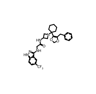 O=C(CNc1n[nH]c2ccc(C(F)(F)F)cc12)NC1CN(C2(C3=C(Cc4ccccc4)OCO3)CCCCC2)C1